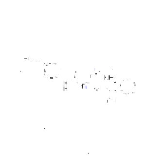 C=C(/N=C(\C=C/N)NCC(O)c1ccccc1)Nc1ccc(C(=O)O)cc1